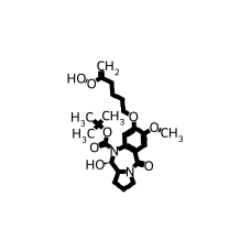 C=C(CCCCOc1cc2c(cc1OC)C(=O)N1CCCC1[C@H](O)N2C(=O)OC(C)(C)C)OO